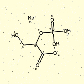 O=C([O-])C(CO)OP(=O)(O)O.[Na+]